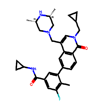 Cc1c(F)cc(C(=O)NC2CC2)cc1-c1ccc2c(=O)n(CC3CC3)cc(CN3C[C@@H](C)N[C@@H](C)C3)c2c1